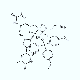 COc1ccc(C(OC[C@H]2O[C@@H](n3cc(C)c(=O)[nH]c3=O)C[C@@]2(O)P(=O)(OCCC#N)OC[C@H]2O[C@@H](n3cc(C)c(=O)[nH]c3=O)C[C@@H]2O)(c2ccccc2)c2ccc(OC)cc2)cc1